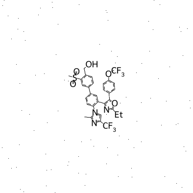 CCc1nc(-c2cc(-c3ccc(CO)c(S(C)(=O)=O)c3)ccc2-n2cc(C(F)(F)F)nc2C)c(-c2ccc(OC(F)(F)F)cc2)o1